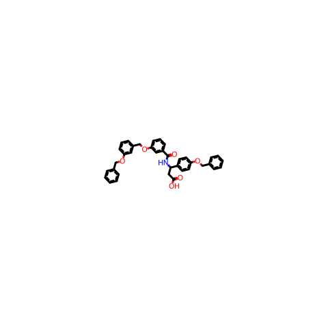 O=C(O)CC(NC(=O)c1cccc(OCc2cccc(OCc3ccccc3)c2)c1)c1ccc(OCc2ccccc2)cc1